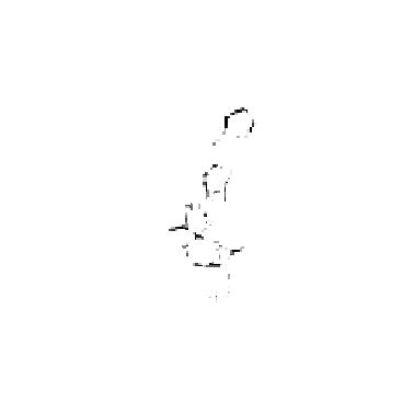 NC(=O)C1(OC[C@H]2C[C@H](Cn3cccn3)CN2)CCC2CN1C(=O)N2OS(=O)(=O)O